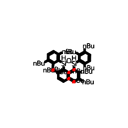 CCCCc1ccc(CCCC)c([SiH](O[SiH](c2c(CCCC)ccc(CCCC)c2CCCC)c2c(CCCC)ccc(CCCC)c2CCCC)c2c(CCCC)ccc(CCCC)c2CCCC)c1CCCC